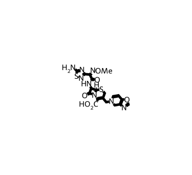 CO/N=C(\C(=O)NC1C(=O)N2C(C(=O)O)=C(CN3C=Cc4ocnc4C3)CS[C@H]12)c1nsc(N)n1